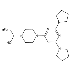 CCCCCC(O)N1CCN(c2cc(N3CCCC3)nc(N3CCCC3)n2)CC1